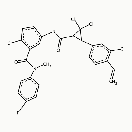 C=Cc1ccc(C2C(C(=O)Nc3ccc(Cl)c(C(=O)N(C)c4ccc(F)cc4)c3)C2(Cl)Cl)cc1Cl